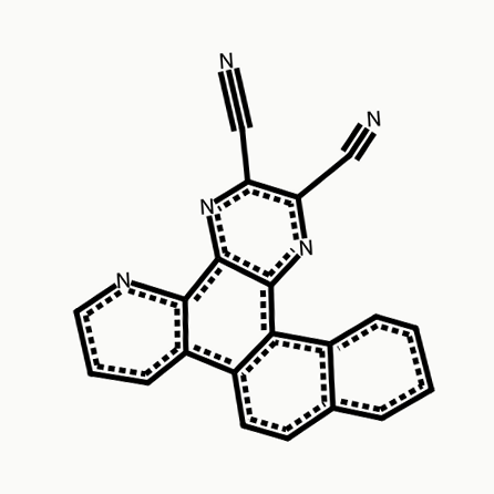 N#Cc1nc2c3ncccc3c3ccc4ccccc4c3c2nc1C#N